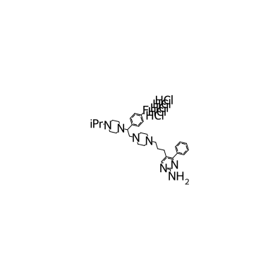 CC(C)N1CCN(C(CN2CCN(CCCc3cnc(N)nc3-c3ccccc3)CC2)c2ccc(F)cc2)CC1.Cl.Cl.Cl.Cl.Cl